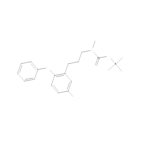 CN(CCCc1cc(O)ccc1Oc1ccccc1)C(=O)OC(C)(C)C